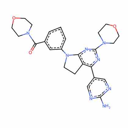 Nc1ncc(-c2nc(N3CCOCC3)nc3c2CCN3c2cccc(C(=O)N3CCOCC3)c2)cn1